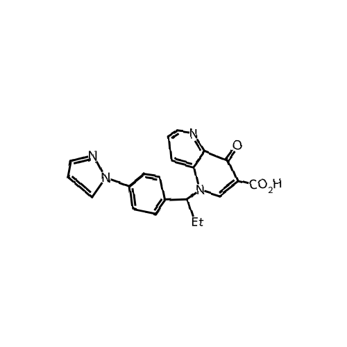 CCC(c1ccc(-n2cccn2)cc1)n1cc(C(=O)O)c(=O)c2ncccc21